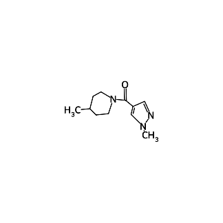 CC1CCN(C(=O)c2cnn(C)c2)CC1